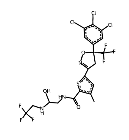 Cc1cc(C2=NO[C@@](c3cc(Cl)c(Cl)c(Cl)c3)(C(F)(F)F)C2)sc1C(=O)NCC(O)NCC(F)(F)F